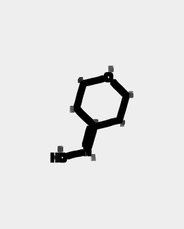 ON=C1CCOCC1